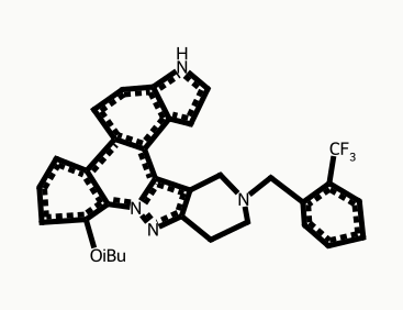 CC(C)COc1cccc2c3ccc4[nH]ccc4c3c3c4c(nn3c12)CCN(Cc1ccccc1C(F)(F)F)C4